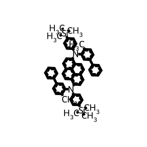 Cc1ccc(-c2ccccc2)cc1N(c1ccc([Si](C)(C)C)cc1)c1ccc2ccc3c(N(c4ccc([Si](C)(C)C)cc4)c4cc(-c5ccccc5)ccc4C)ccc4ccc1c2c43